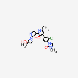 Cc1cc(-c2ccc(-n3ccn(C)c3=O)c(Cl)c2)c(O)c(-c2ccnc(N3CC[C@](C)(O)C3)c2)n1